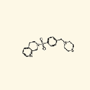 O=S(=O)(c1ccc(CN2CCSCC2)cc1)N1CCc2cccnc2C1